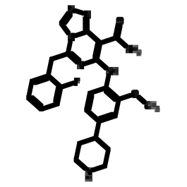 COc1cc(C2CCNCC2)ccc1Nc1nc(Cc2ccccc2F)n2cnnc2c1C(N)=O